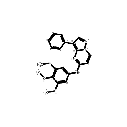 COc1cc(Nc2ccn3ncc(-c4ccccc4)c3n2)cc(OC)c1OC